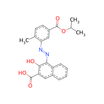 Cc1ccc(C(=O)OC(C)C)cc1/N=N/c1c(O)c(C(=O)O)cc2ccccc12